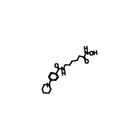 O=C(CCCCCNC(=O)c1ccc(N2CCCCC2)cc1)NO